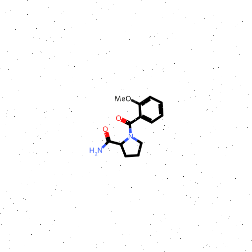 COc1ccccc1C(=O)N1CCCC1C(N)=O